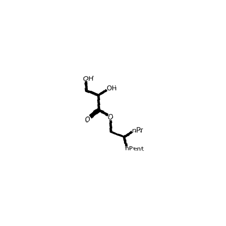 CCCCCC(CCC)COC(=O)C(O)CO